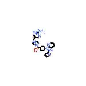 Nc1ncc(CN2CCN(C(=O)C3CCC(n4c(-c5ccccn5)nc5cccnc54)CC3)CC2)cn1